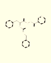 O=C(NC(Cc1ccccc1)C(=O)NNC(=O)c1cccnc1)OCc1ccccc1